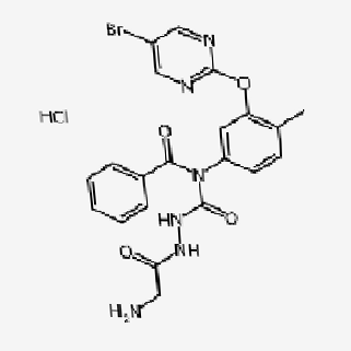 Cc1ccc(N(C(=O)NNC(=O)CN)C(=O)c2ccccc2)cc1Oc1ncc(Br)cn1.Cl